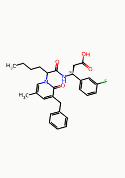 CCCCC(C(=O)N[C@@H](CC(=O)O)c1cccc(F)c1)n1cc(C)cc(Cc2ccccc2)c1=O